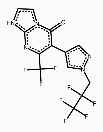 O=c1c(-c2cnn(CC(F)(F)C(F)(F)F)c2)c(C(F)(F)F)nc2[nH]ccn12